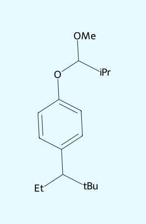 CCC(c1ccc(OC(OC)C(C)C)cc1)C(C)(C)C